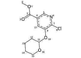 COC(=O)c1cnc(Cl)c(OC2CCCCO2)c1